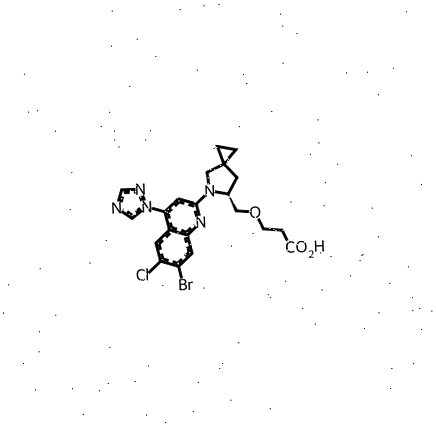 O=C(O)CCOC[C@@H]1CC2(CC2)CN1c1cc(-n2cncn2)c2cc(Cl)c(Br)cc2n1